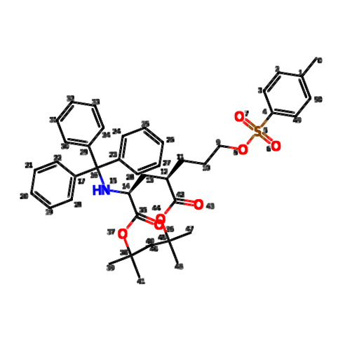 Cc1ccc(S(=O)(=O)OCCC[C@H](C[C@H](NC(c2ccccc2)(c2ccccc2)c2ccccc2)C(=O)OC(C)(C)C)C(=O)OC(C)(C)C)cc1